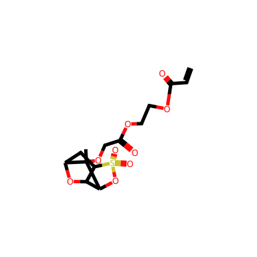 C=CC(=O)OCCOC(=O)COC1(C)C2CC3C(O2)C1OS3(=O)=O